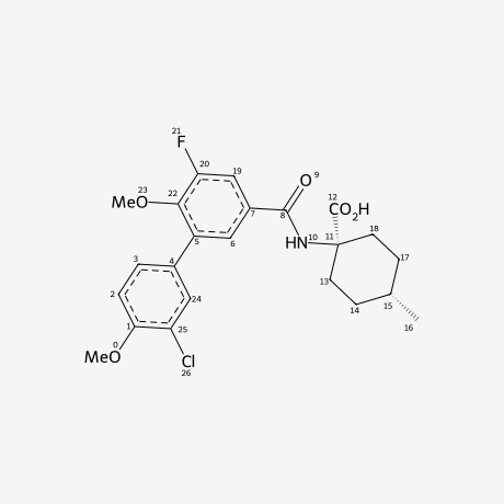 COc1ccc(-c2cc(C(=O)N[C@]3(C(=O)O)CC[C@@H](C)CC3)cc(F)c2OC)cc1Cl